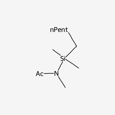 CCCCCC[Si](C)(C)N(C)C(C)=O